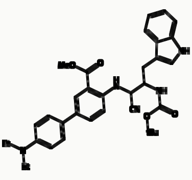 CCN(CC)c1ccc(-c2ccc(NC(C#N)C(Cc3c[nH]c4ccccc34)NC(=O)OC(C)(C)C)c(C(=O)OC)c2)cc1